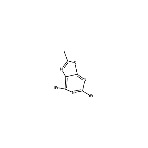 Cc1nc2c(C(C)C)nc(C(C)C)nc2s1